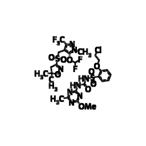 COc1nc(C)nc(NC(=O)NS(=O)(=O)c2ccccc2OCCCl)n1.Cn1nc(C(F)(F)F)c(CS(=O)(=O)C2=NOC(C)(C)C2)c1OC(F)F